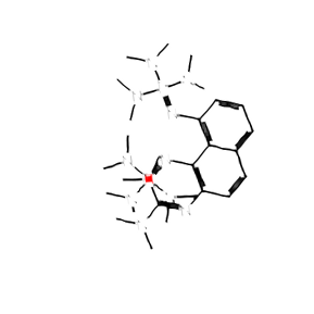 CN(C)C(=Nc1ccc2cccc(N=P(N(C)C)(N(C)C)N(C)C)c2c1N=P(N(C)C)(N(C)C)N(C)C)N(C)C